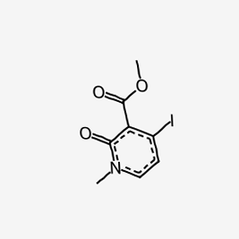 COC(=O)c1c(I)ccn(C)c1=O